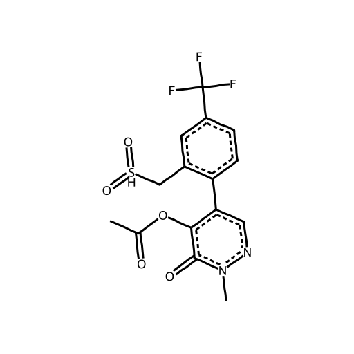 CC(=O)Oc1c(-c2ccc(C(F)(F)F)cc2C[SH](=O)=O)cnn(C)c1=O